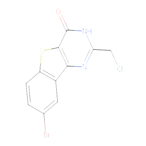 O=c1[nH]c(CCl)nc2c1sc1ccc(Br)cc12